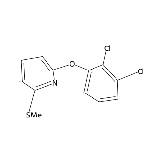 CSc1[c]ccc(Oc2cccc(Cl)c2Cl)n1